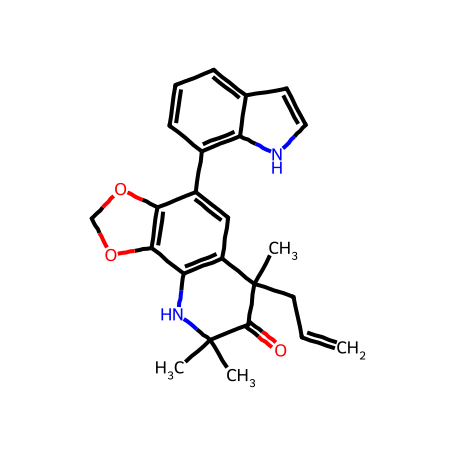 C=CCC1(C)C(=O)C(C)(C)Nc2c1cc(-c1cccc3cc[nH]c13)c1c2OCO1